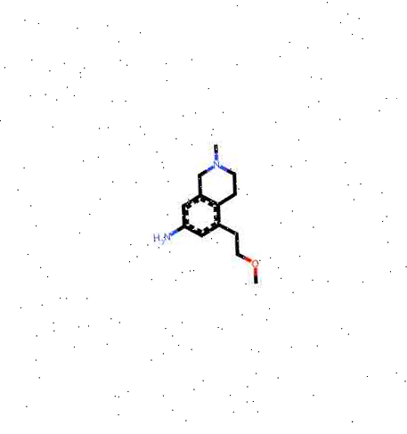 COCCc1cc(N)cc2c1CCN(C)C2